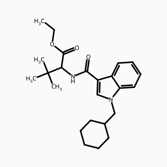 CCOC(=O)C(NC(=O)c1cn(CC2CCCCC2)c2ccccc12)C(C)(C)C